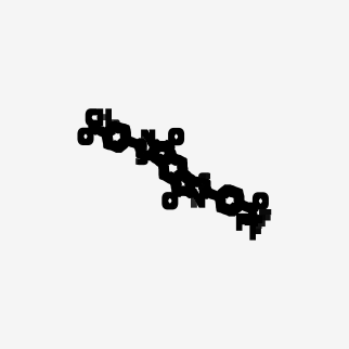 CC(=O)c1ccc(-c2nc3c(=O)c4cc5c(cc4c3s2)c(=O)c2nc(-c3ccc(C(=O)C(F)(F)F)cc3)sc25)cc1